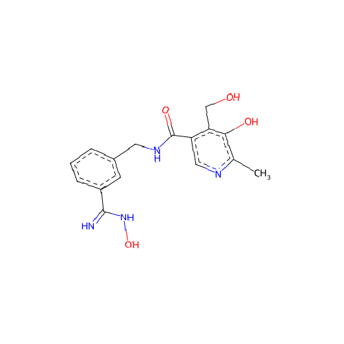 Cc1ncc(C(=O)NCc2cccc(C(=N)NO)c2)c(CO)c1O